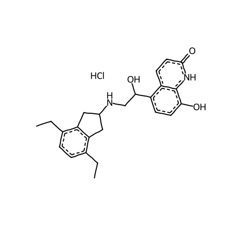 CCc1ccc(CC)c2c1CC(NCC(O)c1ccc(O)c3[nH]c(=O)ccc13)C2.Cl